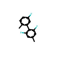 Cc1cc(F)c(-c2cc(F)c[c]c2C)c(F)c1